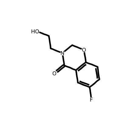 O=C1c2cc(F)ccc2OCN1CCO